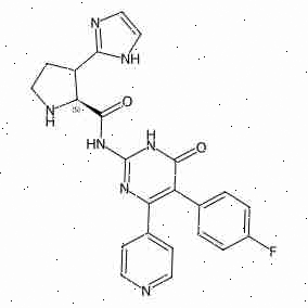 O=C(Nc1nc(-c2ccncc2)c(-c2ccc(F)cc2)c(=O)[nH]1)[C@H]1NCCC1c1ncc[nH]1